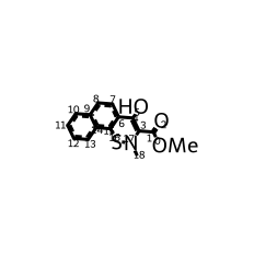 COC(=O)C1=C(O)c2ccc3ccccc3c2SN1C